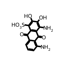 Nc1cccc2c1C(=O)c1c(N)c(O)c(O)c(S(=O)(=O)O)c1C2=O